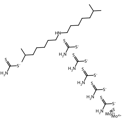 CC(C)CCCCCNCCCCCC(C)C.NC(=S)[S-].NC(=S)[S-].NC(=S)[S-].NC(=S)[S-].NC(=S)[S-].NC(=S)[S-].[Mo+4].[S]=[Mo+2]